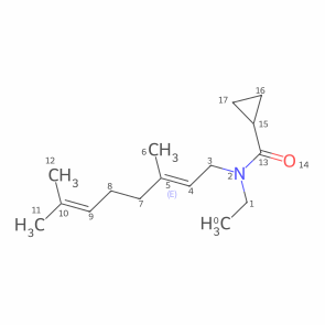 CCN(C/C=C(\C)CCC=C(C)C)C(=O)C1CC1